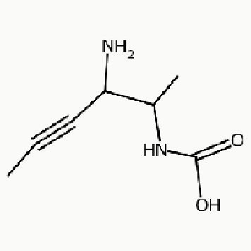 CC#CC(N)C(C)NC(=O)O